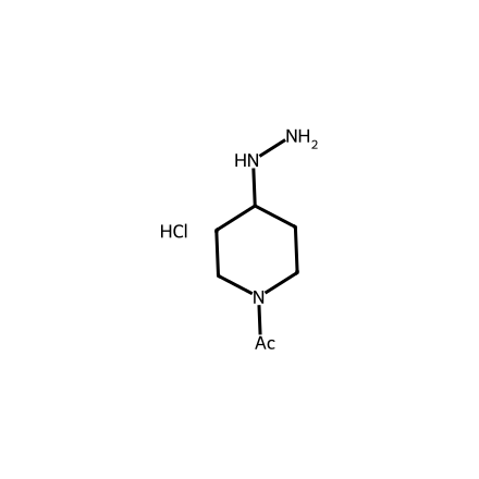 CC(=O)N1CCC(NN)CC1.Cl